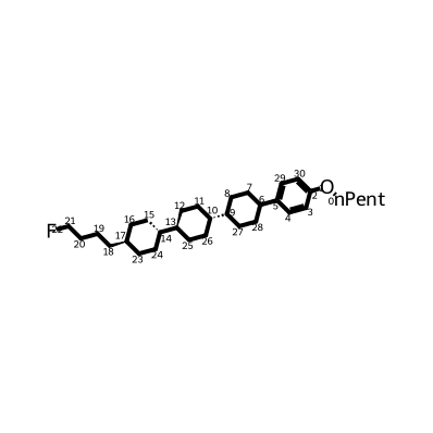 CCCCCOc1ccc(C2CCC([C@H]3CC[C@H]([C@H]4CC[C@H](CCCCF)CC4)CC3)CC2)cc1